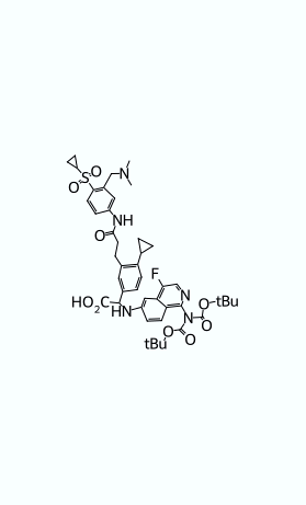 CN(C)Cc1cc(NC(=O)CCc2cc(C(Nc3ccc4c(N(C(=O)OC(C)(C)C)C(=O)OC(C)(C)C)ncc(F)c4c3)C(=O)O)ccc2C2CC2)ccc1S(=O)(=O)C1CC1